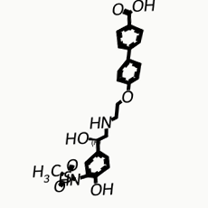 CS(=O)(=O)Nc1cc([C@@H](O)CNCCOc2ccc(-c3ccc(C(=O)O)cc3)cc2)ccc1O